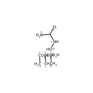 CC(=O)O.CC(=O)O.CC(=O)O.CCC(N)NO